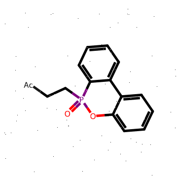 CC(=O)CCP1(=O)Oc2ccccc2-c2ccccc21